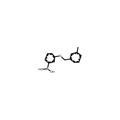 Cc1cccc(COc2cccc(B(O)O)c2)c1